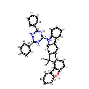 CC1(C)c2cc3c(cc2-c2ccc4oc5ccccc5c4c21)c1ccccc1n3-c1nc(-c2ccccc2)nc(-c2ccccc2)n1